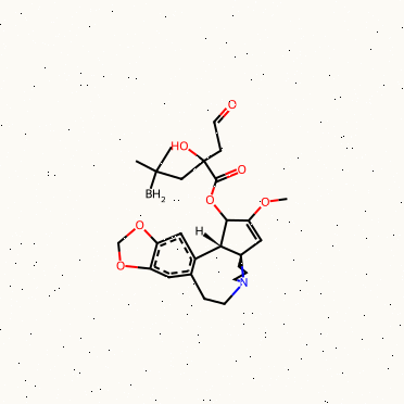 BC(C)(C)CC(O)(CC=O)C(=O)OC1C(OC)=C[C@]23CCCN2CCc2cc4c(cc2[C@H]13)OCO4